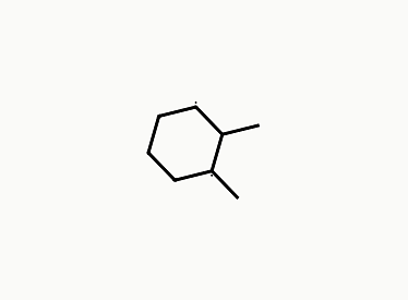 C[C]1CCC[CH]C1C